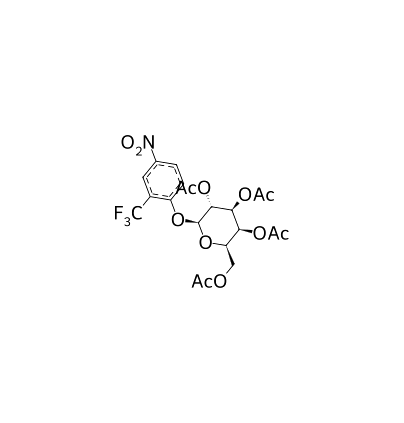 CC(=O)OC[C@H]1O[C@@H](Oc2ccc([N+](=O)[O-])cc2C(F)(F)F)[C@H](OC(C)=O)[C@@H](OC(C)=O)[C@H]1OC(C)=O